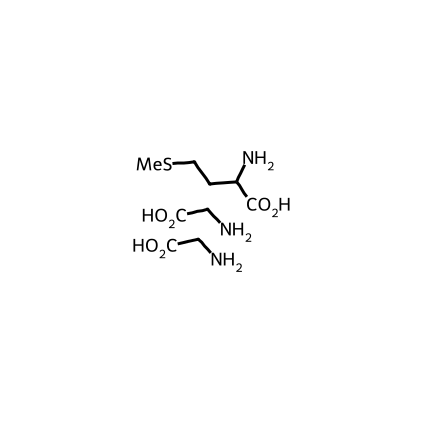 CSCCC(N)C(=O)O.NCC(=O)O.NCC(=O)O